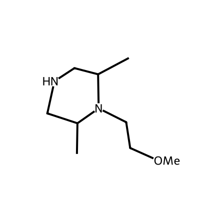 COCCN1C(C)CNCC1C